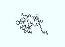 COc1cnc(-c2nn(Cc3c(F)cc(OCCOC(=O)[C@H](C)NC(=O)[C@H](N)CCCCN)cc3F)c3ccccc23)nc1Nc1ccnc(F)c1